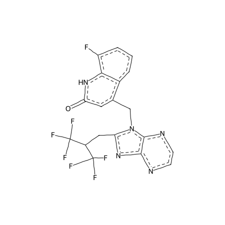 O=c1cc(Cn2c(CC(C(F)(F)F)C(F)(F)F)nc3nccnc32)c2cccc(F)c2[nH]1